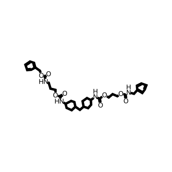 O=C(NCc1ccccc1)OCCCOC(=O)NC1CCC(CC2CCC(NC(=O)OCCCNC(=O)OCc3ccccc3)CC2)CC1